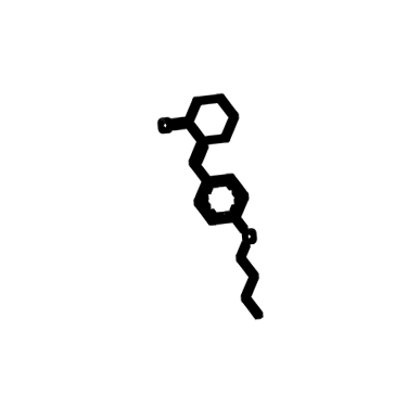 CCCCOc1ccc(C=C2CCCCC2=O)cc1